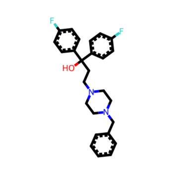 OC(CCN1CCN(Cc2ccccc2)CC1)(c1ccc(F)cc1)c1ccc(F)cc1